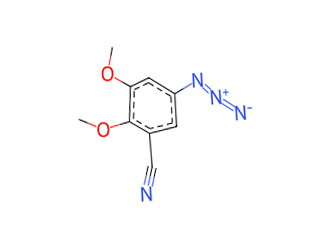 COc1cc(N=[N+]=[N-])cc(C#N)c1OC